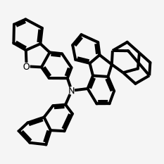 c1ccc2c(c1)-c1c(N(c3ccc4ccccc4c3)c3ccc4c(c3)oc3ccccc34)cccc1C21C2CC3CC(C2)CC1C3